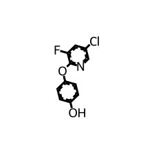 Oc1ccc(Oc2ncc(Cl)cc2F)cc1